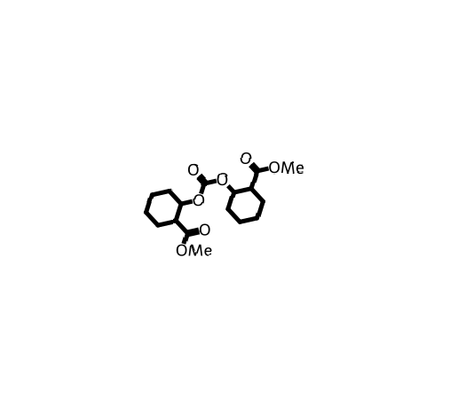 COC(=O)C1CCCCC1OC(=O)OC1CCCCC1C(=O)OC